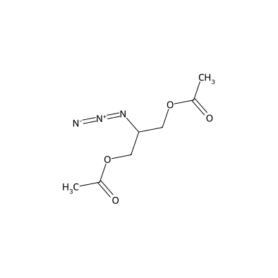 CC(=O)OCC(COC(C)=O)N=[N+]=[N-]